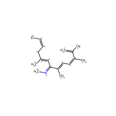 C=C(C#N)/C(C)=C\C=C(/C)C(/C=C(\C)C/C=C\CC)=NC